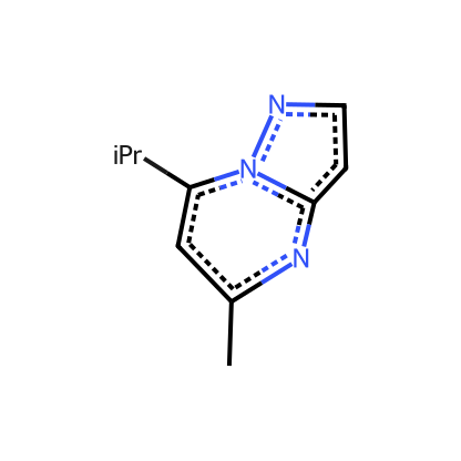 Cc1cc(C(C)C)n2nccc2n1